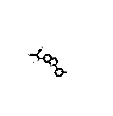 N#CC(C#N)=C(O)c1ccc2ccc(-c3cccc(F)c3)nc2c1